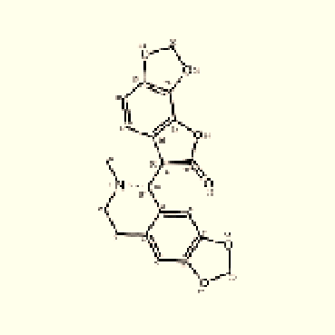 CN1CCc2cc3c(cc2[C@H]1[C@@H]1C(=O)Oc2c1ccc1c2OCO1)OCO3